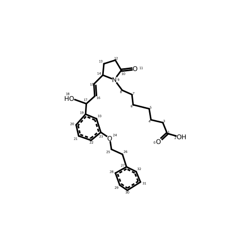 O=C(O)CCCCCCN1C(=O)CCC1C=CC(O)c1cccc(OCCc2ccccc2)c1